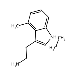 CC.Cc1cccc2[nH]cc(CCN)c12